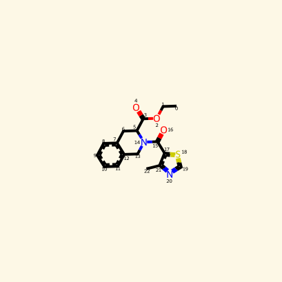 CCOC(=O)C1Cc2ccccc2CN1C(=O)c1scnc1C